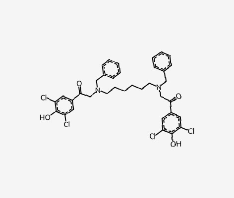 O=C(CN(CCCCCCN(CC(=O)c1cc(Cl)c(O)c(Cl)c1)Cc1ccccc1)Cc1ccccc1)c1cc(Cl)c(O)c(Cl)c1